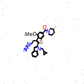 COc1cc(C(=O)N2CCC[C@@H](C)C2)cc2sc(-c3cc4ccccc4n3CC3CC3)c(CCN=[N+]=[N-])c12